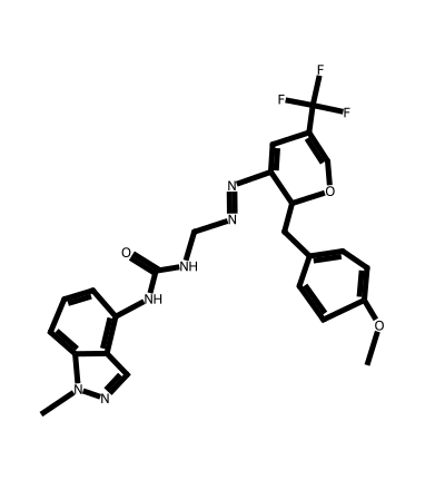 COc1ccc(CC2OC=C(C(F)(F)F)C=C2N=NCNC(=O)Nc2cccc3c2cnn3C)cc1